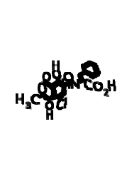 C[C@H]1OC(=O)c2c(O)c(C(=O)N[C@@H](Cc3ccccc3)C(=O)O)cc(Cl)c2[C@H]1O